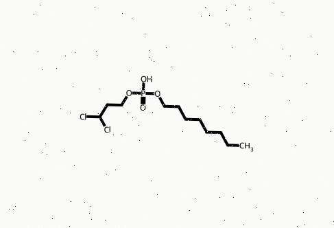 CCCCCCCCOP(=O)(O)OCCC(Cl)Cl